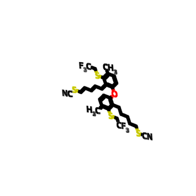 Cc1ccc(Oc2ccc(C)c(SCC(F)(F)F)c2CCCCCSC#N)c(CCCCCSC#N)c1SCC(F)(F)F